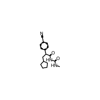 CNC(=O)NC(=O)C(CC1CCCC1)c1ccc(C#N)cc1